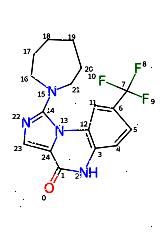 O=c1[nH]c2ccc(C(F)(F)F)cc2n2c(N3CCCCCC3)ncc12